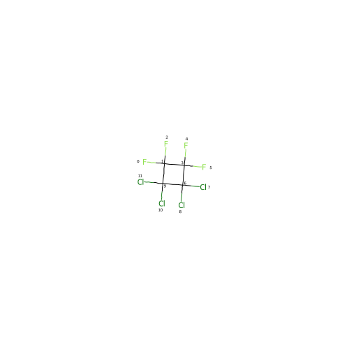 FC1(F)C(F)(F)C(Cl)(Cl)C1(Cl)Cl